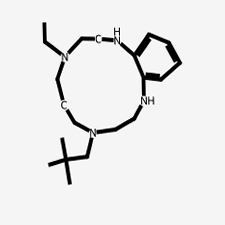 CCN1CCCN(CC(C)(C)C)CCNc2ccccc2NCC1